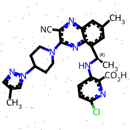 Cc1cc([C@@H](C)Nc2ccc(Cl)nc2C(=O)O)c2nc(N3CCC(n4cc(C)cn4)CC3)c(C#N)nc2c1